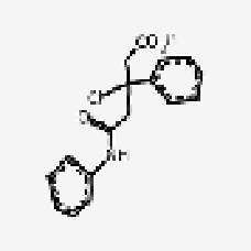 O=C(O)CC(Cl)(CC(=O)Nc1ccccc1)c1ccccc1